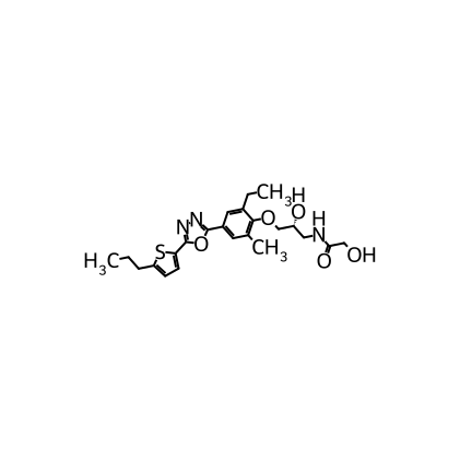 CCCc1ccc(-c2nnc(-c3cc(C)c(OC[C@H](O)CNC(=O)CO)c(CC)c3)o2)s1